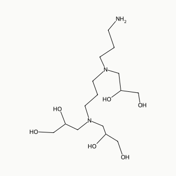 NCCCN(CCCN(CC(O)CO)CC(O)CO)CC(O)CO